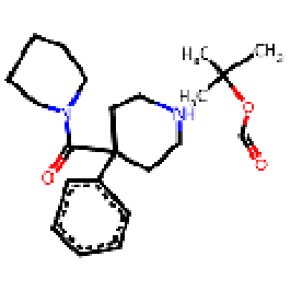 CC(C)(C)OC=O.O=C(N1CCCCC1)C1(c2ccccc2)CCNCC1